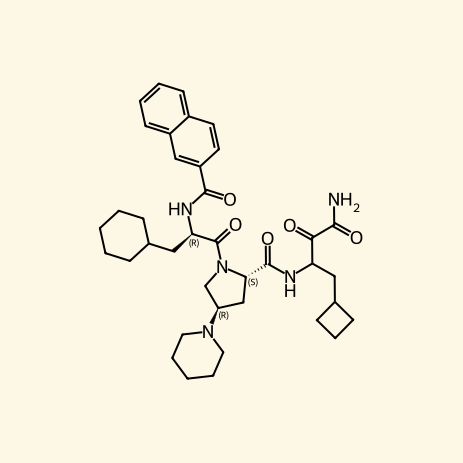 NC(=O)C(=O)C(CC1CCC1)NC(=O)[C@@H]1C[C@@H](N2CCCCC2)CN1C(=O)[C@@H](CC1CCCCC1)NC(=O)c1ccc2ccccc2c1